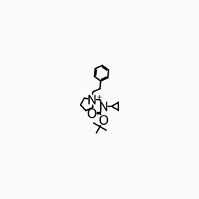 CC(C)(C)OC(=O)N(C[N+]1(CCc2ccccc2)CCCC1)C1CC1